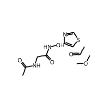 CC(=O)NCC(=O)NO.CC=O.COC.c1cscn1